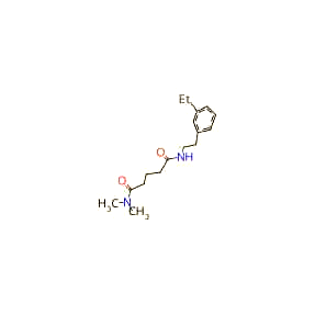 CCc1cccc(C[CH]NC(=O)CCCC(=O)N(C)C)c1